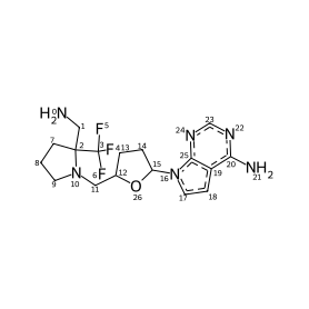 NCC1(C(F)(F)F)CCCN1CC1CCC(n2ccc3c(N)ncnc32)O1